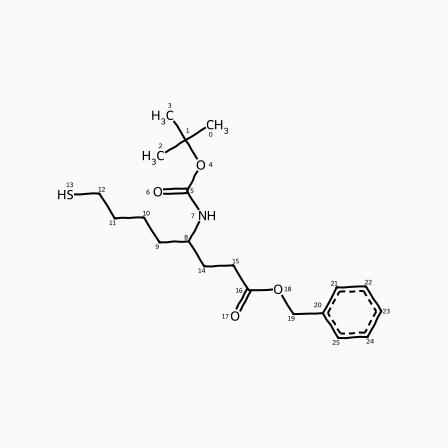 CC(C)(C)OC(=O)NC(CCCCS)CCC(=O)OCc1ccccc1